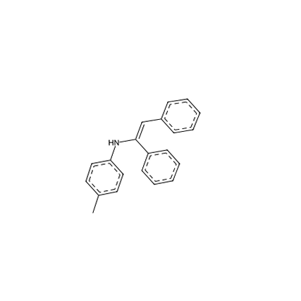 Cc1ccc(NC(=Cc2ccccc2)c2ccccc2)cc1